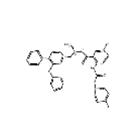 O=C(Cc1ccc(F)cc1)Nc1ccc(Br)cc1C(=O)N[C@@H](Cc1ccc(-c2ccccc2)c(Oc2ccccc2)c1)C(=O)O